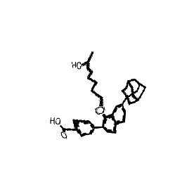 CC(O)CCCCCOc1c(-c2ccc(C(=O)O)cc2)ccc2ccc(C34CC5CC(CC(C5)C3)C4)cc12